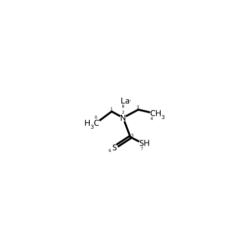 CCN(CC)C(=S)S.[La]